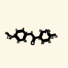 CSc1ccc(CC(=O)c2ccc(C)nc2)cc1